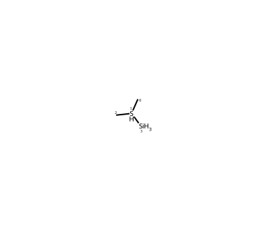 C[SH](C)[SiH3]